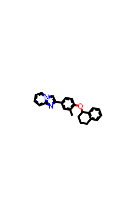 Cc1cc(-c2cn3ccccc3n2)ccc1OC1CCCc2ccccc21